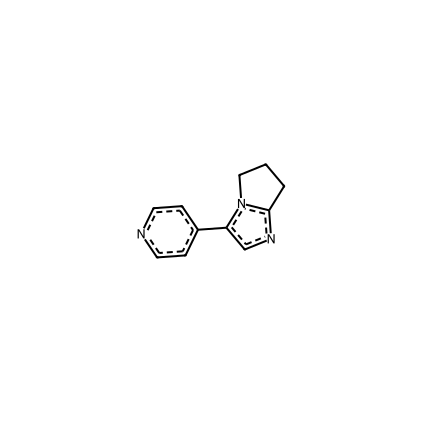 c1cc(-c2cnc3n2CCC3)ccn1